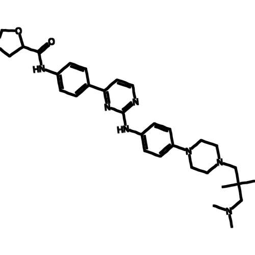 CN(C)CC(C)(C)CN1CCN(c2ccc(Nc3nccc(-c4ccc(NC(=O)C5CCCO5)cc4)n3)cc2)CC1